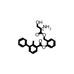 Cc1c(C(=O)Oc2ccccc2COC(=O)[C@@H](N)CO)cccc1-c1ccccc1